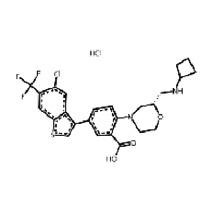 Cl.O=C(O)c1cc(-c2csc3cc(C(F)(F)F)c(Cl)cc23)ccc1N1CCO[C@@H](CNC2CCC2)C1